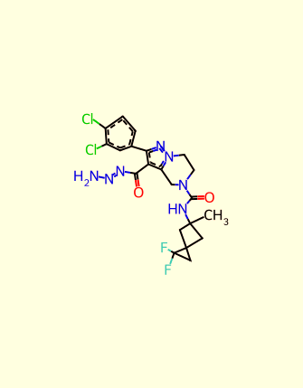 CC1(NC(=O)N2CCn3nc(-c4ccc(Cl)c(Cl)c4)c(C(=O)N=NN)c3C2)CC2(C1)CC2(F)F